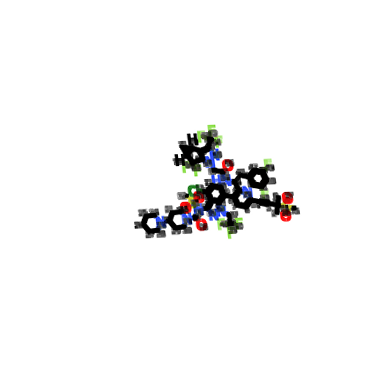 CC(C)(C#Cc1ccc(-c2ccc(Cl)c3c(N(C(=O)N4CCC(N5CCCCC5)CC4)S(C)(=O)=O)nn(CC(F)(F)F)c23)c([C@H](Cc2cc(F)cc(F)c2)NC(=O)Cn2nc(C(F)(F)F)c3c2C(F)(F)[C@@H]2C[C@H]32)n1)S(C)(=O)=O